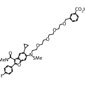 CNC(=O)c1c(-c2ccc(F)cc2)oc2cc(N(CCOCCOCCOCCOCc3cccc(C(=O)O)c3)SC)c(C3CC3)cc12